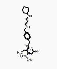 CCC(=C\NCc1ccc(CNCCCNC2CCCCC2)cc1)/C(=C\C(C)=N)N(C)C